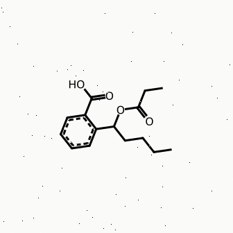 CCCCC(OC(=O)CC)c1ccccc1C(=O)O